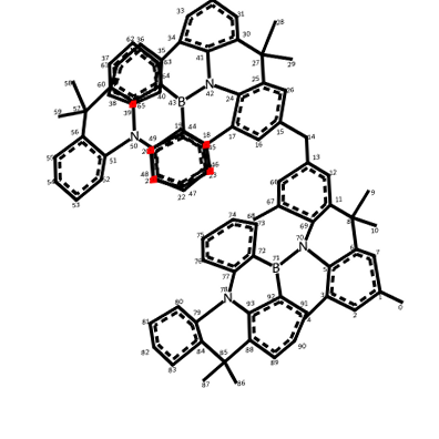 Cc1cc(C)c2c(c1)C(C)(C)c1cc(Cc3cc(-c4ccccc4)c4c(c3)C(C)(C)c3cccc(-c5ccccc5)c3N4B3c4ccccc4N4c5ccccc5C(C)(C)c5cccc3c54)cc(C)c1N2B1c2ccccc2N2c3ccccc3C(C)(C)c3cccc1c32